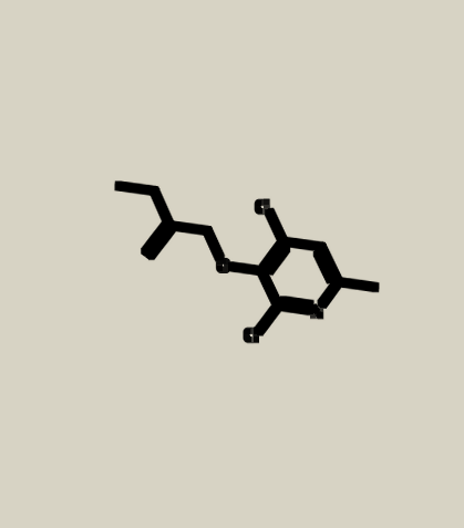 C=C(CC)COc1c(Cl)cc(C)nc1Cl